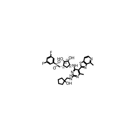 Cc1nc(NCC2(O)CCCC2)nc(N[C@@H]2C[C@H](CS(=O)(=O)c3cc(F)cc(F)c3)[C@@H](O)[C@H]2O)c1-c1nc2c(C)nccc2s1